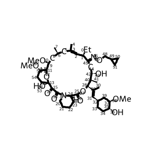 CC[C@@H]1/C=C(\C)C[C@H](C)C[C@H](OC)[C@H]2O[C@@](O)(C(=O)C(=O)N3CCCC[C@H]3C(=O)O[C@H](/C(C)=C/[C@@H]3CC[C@@H](O)[C@H](OC)C3)[C@H](C)[C@@H](O)C/C1=N\OCC1CC1)[C@H](C)C[C@@H]2OC